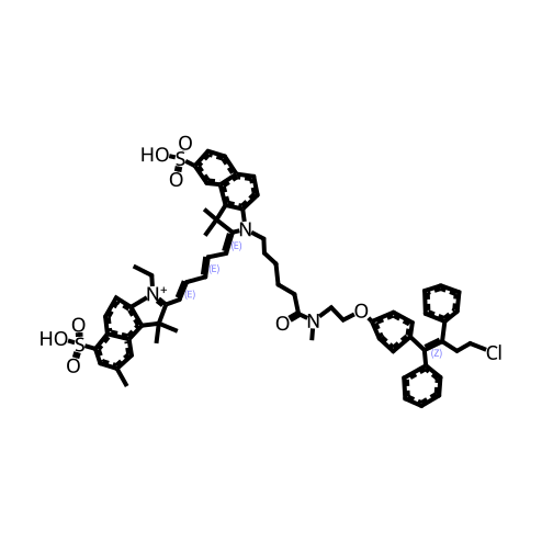 CC[N+]1=C(/C=C/C=C/C=C2/N(CCCCCC(=O)N(C)CCOc3ccc(/C(=C(/CCCl)c4ccccc4)c4ccccc4)cc3)c3ccc4ccc(S(=O)(=O)O)cc4c3C2(C)C)C(C)(C)c2c1ccc1c(S(=O)(=O)O)cc(C)cc21